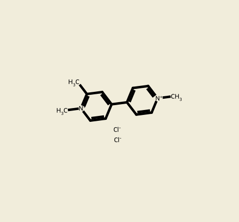 Cc1cc(-c2cc[n+](C)cc2)cc[n+]1C.[Cl-].[Cl-]